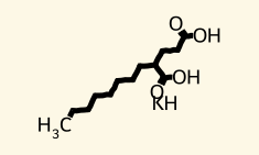 CCCCCCCCC(CCC(=O)O)C(=O)O.[KH]